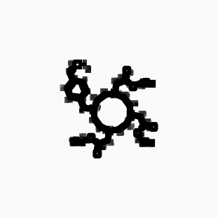 C=Cc1ccc(CN2CCN(CC(=O)OC(C)(C)C)CCN(CC(=O)OC(C)(C)C)CCN(CC(=O)OC(C)(C)C)CC2)cc1